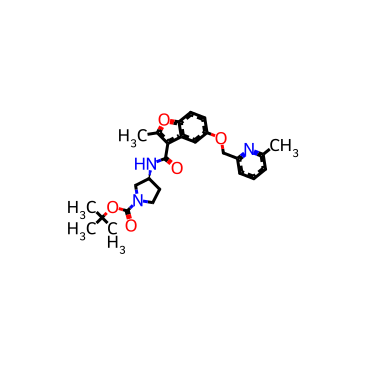 Cc1cccc(COc2ccc3oc(C)c(C(=O)N[C@H]4CCN(C(=O)OC(C)(C)C)C4)c3c2)n1